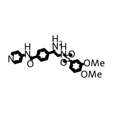 COc1ccc(S(=O)(=O)NCC(N)c2ccc(C(=O)Nc3ccncc3)cc2)cc1OC